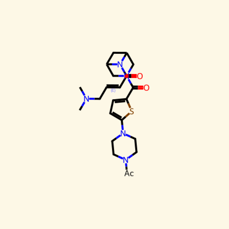 CC(=O)N1CCN(c2ccc(C(=O)N3CC4CC(C3)N4C(=O)/C=C/CN(C)C)s2)CC1